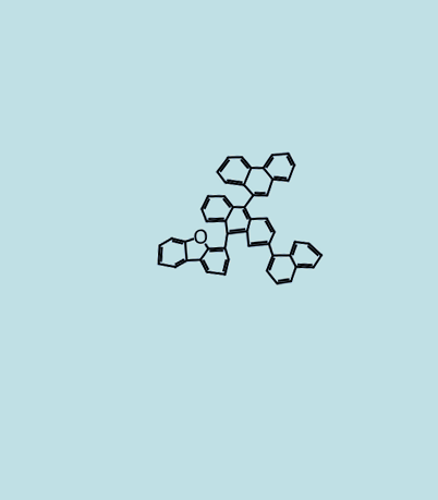 c1ccc2c(-c3ccc4c(-c5cc6ccccc6c6ccccc56)c5ccccc5c(-c5cccc6c5oc5ccccc56)c4c3)cccc2c1